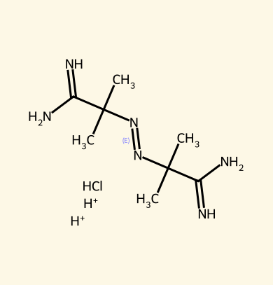 CC(C)(/N=N/C(C)(C)C(=N)N)C(=N)N.Cl.[H+].[H+]